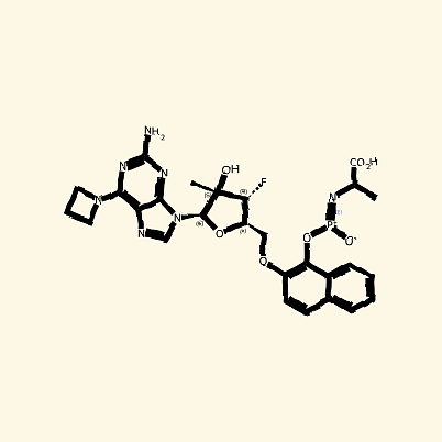 CC(/N=[P+](\[O-])Oc1c(OC[C@H]2O[C@@H](n3cnc4c(N5CCC5)nc(N)nc43)[C@](C)(O)[C@@H]2F)ccc2ccccc12)C(=O)O